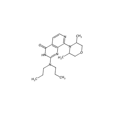 CCCN(CCC)c1nc2c(N3C(C)COCC3C)nccc2c(=O)[nH]1